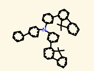 CC1(C)c2ccccc2-c2cccc(-c3cccc(N(c4ccc(-c5ccccc5)cc4)c4cccc(-c5cccc6c5C(C)(C)c5ccccc5-6)c4)c3)c21